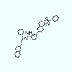 N/C(=N\C(=C/Cc1ccc2ccccc2c1)c1ccccc1)c1cccc(-c2ccc3c(ccc4sc(-c5ccccc5)nc43)c2)c1